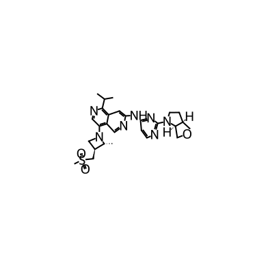 CC(C)c1ncc(N2C[C@H](CS(C)(=O)=O)[C@H]2C)c2cnc(Nc3ccnc(N4CC[C@H]5COC[C@H]54)n3)cc12